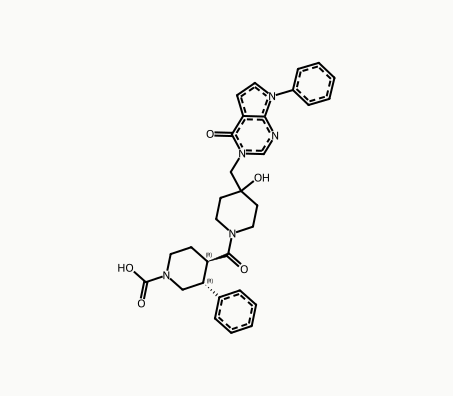 O=C(O)N1CC[C@@H](C(=O)N2CCC(O)(Cn3cnc4c(ccn4-c4ccccc4)c3=O)CC2)[C@H](c2ccccc2)C1